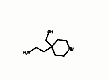 NCCC1(CO)CCNCC1